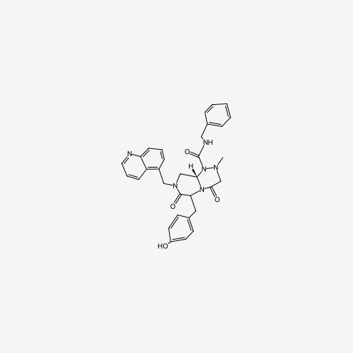 CN1CC(=O)N2C(Cc3ccc(O)cc3)C(=O)N(Cc3cccc4ncccc34)C[C@@H]2N1C(=O)NCc1ccccc1